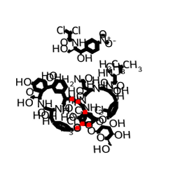 CN[C@H](CC(C)C)C(=O)N[C@H]1C(=O)N[C@@H](CC(N)=O)C(=O)N[C@H]2C(=O)N[C@H]3C(=O)N[C@H](C(=O)N[C@@H](C(=O)O)c4cc(O)cc(O)c4-c4cc3ccc4O)[C@H](O)c3ccc(c(Cl)c3)Oc3cc2cc(c3O[C@@H]2O[C@H](CO)[C@@H](O)[C@H](O)[C@H]2O[C@H]2C[C@](C)(N)C(O)[C@H](C)O2)Oc2ccc(cc2Cl)[C@H]1O.O=C(N[C@H](CO)[C@H](O)c1ccc([N+](=O)[O-])cc1)C(Cl)Cl